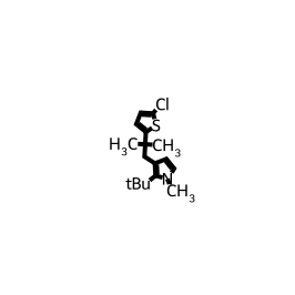 Cn1ccc(CC(C)(C)c2ccc(Cl)s2)c1C(C)(C)C